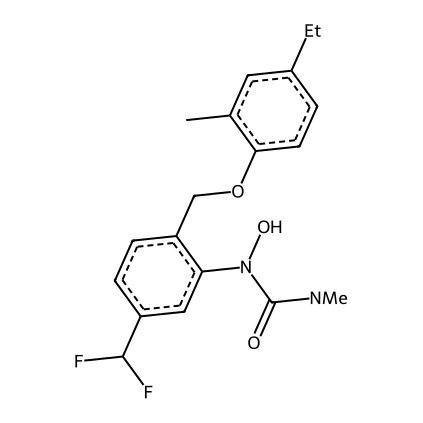 CCc1ccc(OCc2ccc(C(F)F)cc2N(O)C(=O)NC)c(C)c1